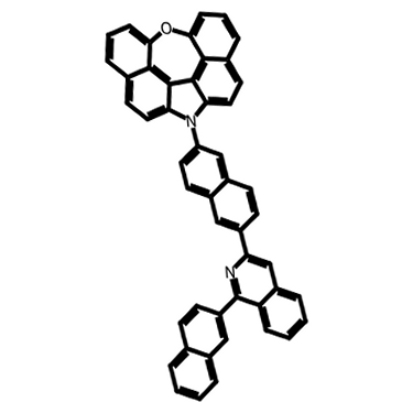 c1ccc2cc(-c3nc(-c4ccc5cc(-n6c7ccc8cccc9oc%10cccc%11ccc6c(c%11%10)c7c89)ccc5c4)cc4ccccc34)ccc2c1